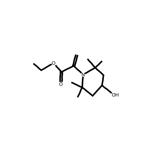 C=C(C(=O)OCC)N1C(C)(C)CC(O)CC1(C)C